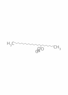 CCCCCCCCCCCCCCCCC(CCCCCCCC)C(=O)ON=O